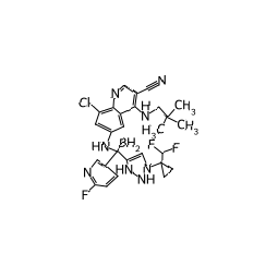 BC(Nc1cc(Cl)c2ncc(C#N)c(NCC(C)(C)C)c2c1)(C1=CN(C2(C(F)F)CC2)NN1)c1ccc(F)nc1